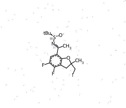 C/C(=N\[S@+]([O-])C(C)(C)C)c1cc(F)c(F)c2c1OC(C)(CI)C2